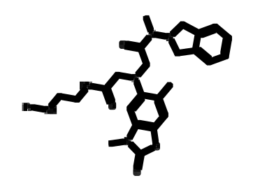 Cc1cc2oc(=O)n(C)c2cc1N(CC(=O)NCCNC(C)C)CC(=O)N(C)N1Cc2ccccc2C1